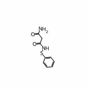 NC(=O)CC(=O)NSc1ccccc1